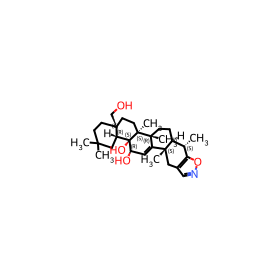 C[C@@H]1c2oncc2C[C@]2(C)C3=C[C@@H](O)[C@]4(O)[C@@H]5CC(C)(C)CC[C@]5(CO)CC[C@@]4(C)[C@]3(C)CC[C@@H]12